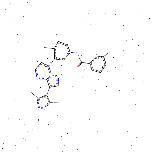 Cc1n[nH]c(C)c1-c1cnn2c(-c3cc(NC(=O)c4cccc(C(F)(F)F)c4)ccc3F)ccnc12